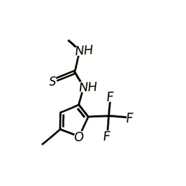 CNC(=S)Nc1cc(C)oc1C(F)(F)F